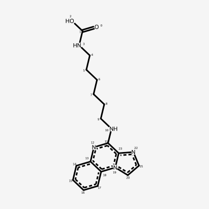 O=C(O)NCCCCCCNc1nc2ccccc2n2ccnc12